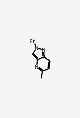 CCn1cc2nc(C)ccc2n1